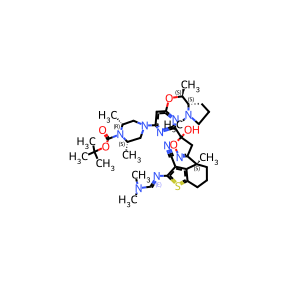 C[C@H](Oc1cc(N2C[C@@H](C)N(C(=O)OC(C)(C)C)[C@@H](C)C2)nc(C2(O)CC([C@@]3(C)CCCc4sc(/N=C/N(C)C)c(C#N)c43)=NO2)n1)[C@@H]1CCCN1C